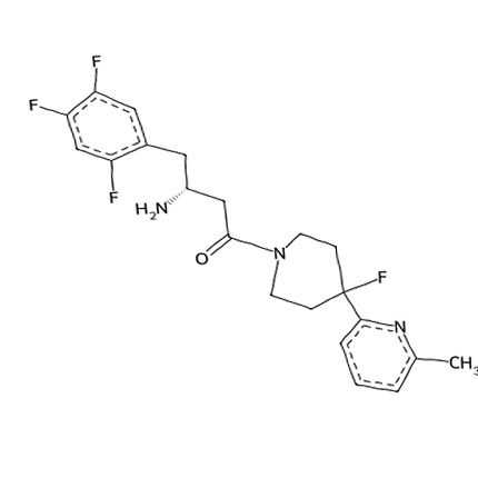 Cc1cccc(C2(F)CCN(C(=O)C[C@H](N)Cc3cc(F)c(F)cc3F)CC2)n1